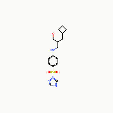 O=CC(CNc1ccc(S(=O)(=O)n2cncn2)cc1)CC1CCC1